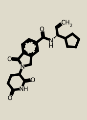 C=C[C@@H](NC(=O)c1ccc2c(c1)CN(C1CCC(=O)NC1=O)C2=O)C1CCCC1